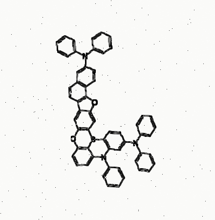 c1ccc(N(c2ccccc2)c2ccc3c(c2)N(c2ccccc2)c2cccc4c2B3c2cc3oc5c6ccc(N(c7ccccc7)c7ccccc7)cc6ccc5c3cc2O4)cc1